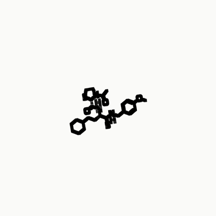 COc1ccc(CNC(=S)[C@@H](CCC2CCCCC2)NC(=O)[C@@H]2SCCN2C(C)=O)cc1